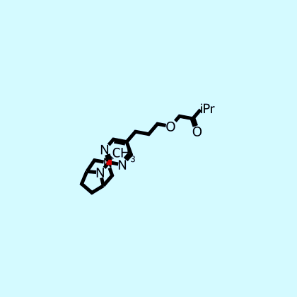 CC(C)C(=O)COCCCc1cnc(N2C3CCC2CN(C)C3)nc1